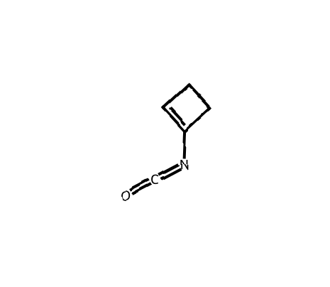 O=C=NC1=CCC1